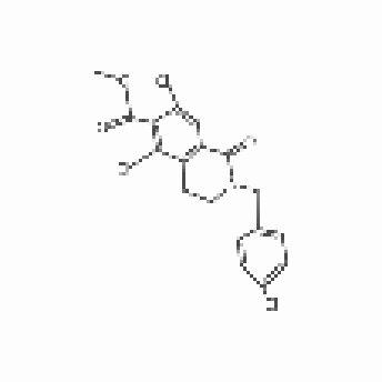 COC(=O)c1c(Cl)cc2c(c1Cl)CCN(Cc1ccc(Cl)cc1)C2=O